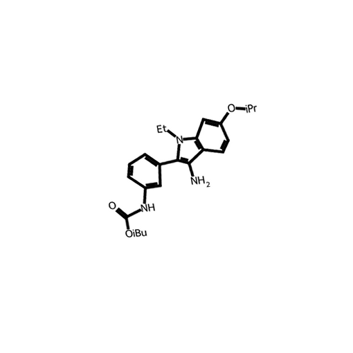 CCn1c(-c2cccc(NC(=O)OCC(C)C)c2)c(N)c2ccc(OC(C)C)cc21